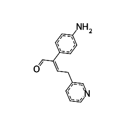 Nc1ccc(/C(C=O)=C\Cc2cccnc2)cc1